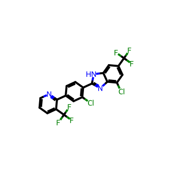 FC(F)(F)c1cc(Cl)c2nc(-c3ccc(-c4ncccc4C(F)(F)F)cc3Cl)[nH]c2c1